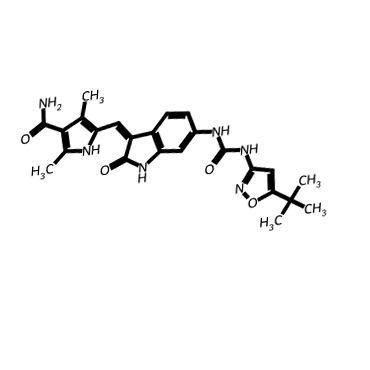 Cc1[nH]c(/C=C2\C(=O)Nc3cc(NC(=O)Nc4cc(C(C)(C)C)on4)ccc32)c(C)c1C(N)=O